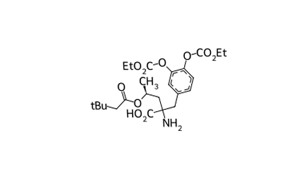 CCOC(=O)Oc1ccc(CC(N)(C[C@H](C)OC(=O)CC(C)(C)C)C(=O)O)cc1OC(=O)OCC